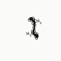 CC(CC(=O)OCCOCCOC(=O)CC(C)CC(=O)ON1C(=O)CCC1=O)CC(=O)OC1C(=O)CCC1=O